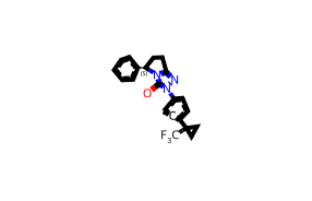 O=c1n(-c2ccc(C3(C(F)(F)F)CC3)cc2)nc2n1[C@H](c1ccccc1)CC2